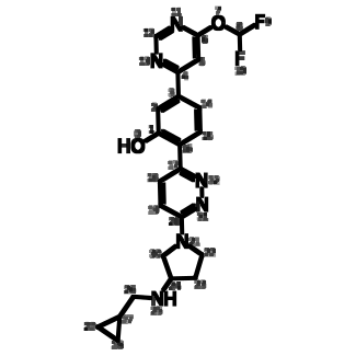 Oc1cc(-c2cc(OC(F)F)ncn2)ccc1-c1ccc(N2CCC(NCC3CC3)C2)nn1